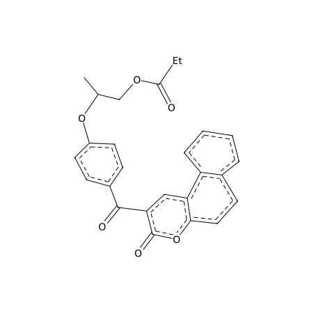 CCC(=O)OCC(C)Oc1ccc(C(=O)c2cc3c(ccc4ccccc43)oc2=O)cc1